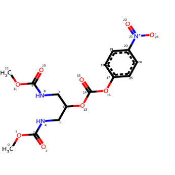 COC(=O)NCC(CNC(=O)OC)OC(=O)Oc1ccc([N+](=O)[O-])cc1